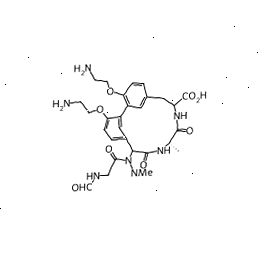 CNN(C(=O)CNC=O)C1C(=O)N[C@@H](C)C(=O)NC(C(=O)O)Cc2ccc(OCCN)c(c2)-c2cc1ccc2OCCN